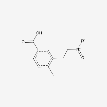 Cc1ccc(C(=O)O)cc1CC[N+](=O)[O-]